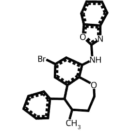 CC1CCOc2c(Nc3nc4ccccc4o3)cc(Br)cc2C1c1ccccc1